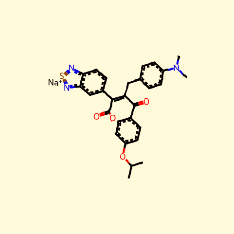 CC(C)Oc1ccc(C(=O)C(Cc2ccc(N(C)C)cc2)=C(C(=O)[O-])c2ccc3nsnc3c2)cc1.[Na+]